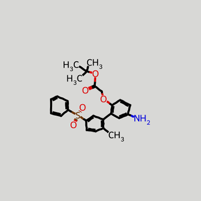 Cc1ccc(S(=O)(=O)c2ccccc2)cc1-c1cc(N)ccc1OCC(=O)OC(C)(C)C